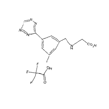 O=C(O)C(F)(F)F.O=C(O)CNCc1cc(I)cc(-c2nncnn2)c1